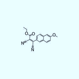 CCOC(=O)C(C#N)=C(C#N)c1ccc2cc(OC)ccc2c1